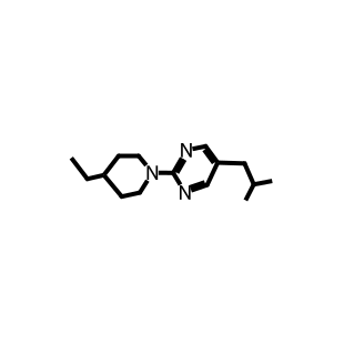 CCC1CCN(c2ncc(CC(C)C)cn2)CC1